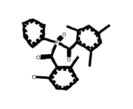 Cc1cc(C)c(C(=O)P(=O)(C(=O)c2c(C)cccc2Cl)c2ccccc2)c(C)c1